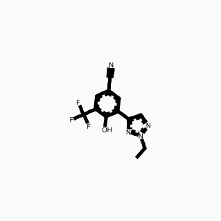 CCn1ncc(-c2cc(C#N)cc(C(F)(F)F)c2O)n1